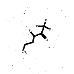 CCCC(F)C(=O)C(F)(F)F